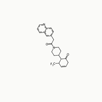 O=C1CC=CC(C(F)(F)F)C1C1CCN(C(=O)Cc2ccc3ncccc3c2)CC1